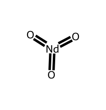 [O]=[Nd](=[O])=[O]